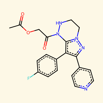 CC(=O)OCC(=O)N1NCCn2nc(-c3ccncc3)c(-c3ccc(F)cc3)c21